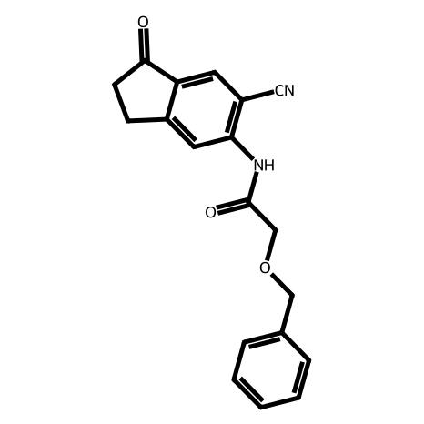 N#Cc1cc2c(cc1NC(=O)COCc1ccccc1)CCC2=O